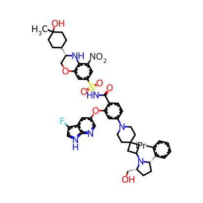 CC(C)c1ccccc1[C@@H]1CC[C@H](CO)N1C1CC2(CCN(c3ccc(C(=O)NS(=O)(=O)c4cc5c(c([N+](=O)[O-])c4)N[C@@H](C4CCC(C)(O)CC4)CO5)c(Oc4cnc5[nH]cc(F)c5c4)c3)CC2)C1